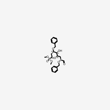 COP(=O)(CC[C@@H](OCc1ccccc1)[C@@H](O)[C@H](O)CN(C=O)OCc1ccccc1)OC